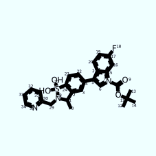 CC1c2cc(-c3cn(C(=O)OC(C)(C)C)c4cc(F)ccc34)ccc2S(O)(O)N1Cc1ccccn1